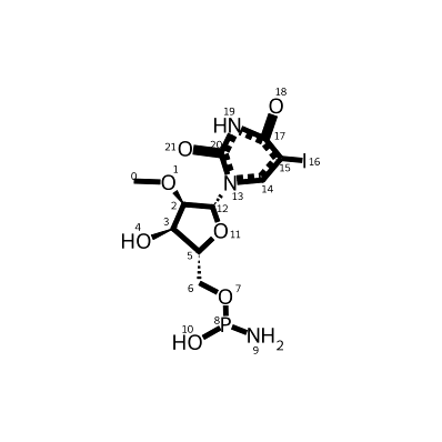 CO[C@@H]1[C@H](O)[C@@H](COP(N)O)O[C@H]1n1cc(I)c(=O)[nH]c1=O